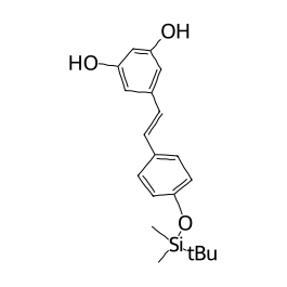 CC(C)(C)[Si](C)(C)Oc1ccc(C=Cc2cc(O)cc(O)c2)cc1